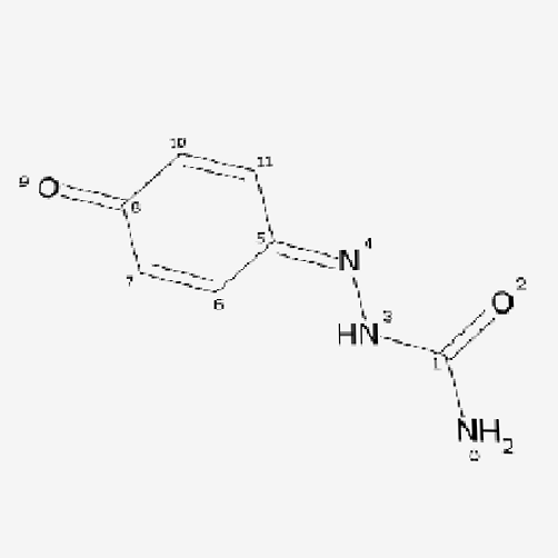 NC(=O)NN=C1C=CC(=O)C=C1